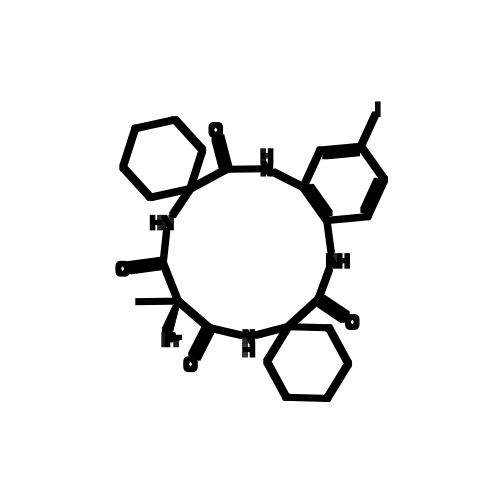 CC(C)[C@]1(C)C(=O)NC2(CCCCC2)C(=O)Nc2ccc(I)cc2NC(=O)C2(CCCCC2)NC1=O